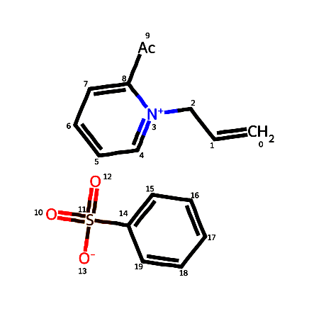 C=CC[n+]1ccccc1C(C)=O.O=S(=O)([O-])c1ccccc1